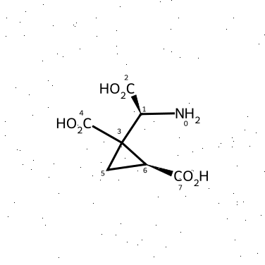 N[C@H](C(=O)O)C1(C(=O)O)C[C@@H]1C(=O)O